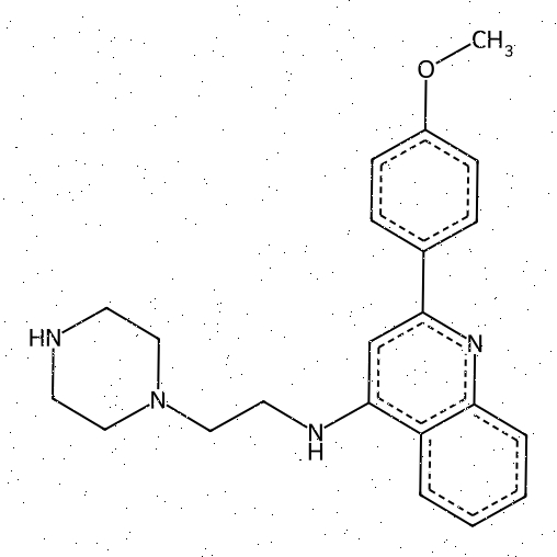 COc1ccc(-c2cc(NCCN3CCNCC3)c3ccccc3n2)cc1